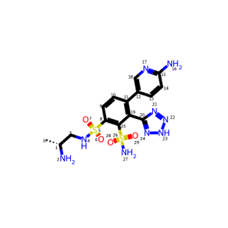 C[C@@H](N)CNS(=O)(=O)c1ccc(-c2ccc(N)nc2)c(-c2nn[nH]n2)c1S(N)(=O)=O